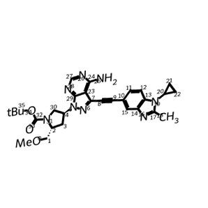 COC[C@H]1C[C@H](n2nc(C#Cc3ccc4c(c3)nc(C)n4C3CC3)c3c(N)ncnc32)CN1C(=O)OC(C)(C)C